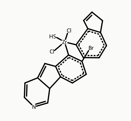 [SH][Zr]([Cl])([Cl])([c]1cccc2c1C=CC2)[c]1c(Br)ccc2c1C=C1C=CN=CC12